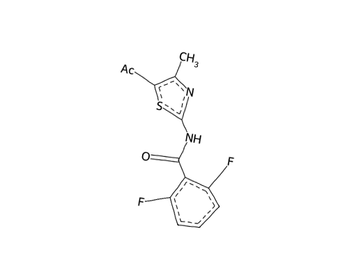 CC(=O)c1sc(NC(=O)c2c(F)cccc2F)nc1C